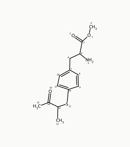 COC(=O)C(N)Cc1ccc(SC(C)C(C)=O)cc1